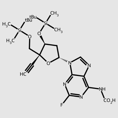 C#C[C@]1(CO[Si](C)(C)C(C)(C)C)O[C@@H](n2cnc3c(NC(=O)O)nc(F)nc32)C[C@@H]1O[Si](C)(C)C(C)(C)C